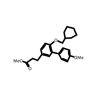 COC(=O)CCc1ccc(OCC2CCCCC2)c(-c2ccc(OC)cc2)c1